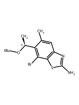 [CH2][C@H](OC(C)(C)C)c1c(C)cc2nc(N)sc2c1Br